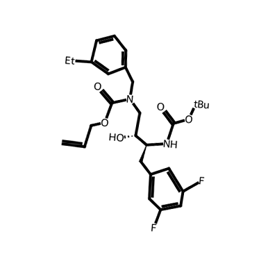 C=CCOC(=O)N(Cc1cccc(CC)c1)C[C@@H](O)[C@H](Cc1cc(F)cc(F)c1)NC(=O)OC(C)(C)C